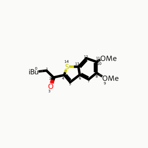 CCC(C)CC(=O)c1cc2cc(OC)c(OC)cc2s1